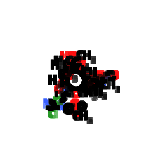 CC[C@H]1OC(=O)C(C)(C)[C@@H](O[C@H]2C[C@@](C)(OC)[C@@H](O)[C@H](C)O2)[C@H](C)[C@@H](O[C@@H]2O[C@H](C)C[C@H](N(C)C(=O)N3CCOCC3)[C@H]2O)[C@](C)(OC)C[C@@H](C)C(=O)[C@H](C)[C@H]2N(CCCCN(Cc3c(Cl)cncc3Cl)c3ccc(OC)c(OC4CCCC4)c3)C(=O)O[C@]12C